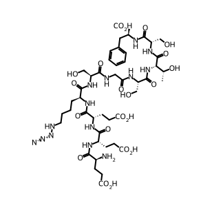 C[C@@H](O)[C@H](NC(=O)[C@H](CO)NC(=O)CNC(=O)[C@H](CO)NC(=O)[C@H](CCCCNN=[N+]=[N-])NC(=O)[C@H](CCC(=O)O)NC(=O)[C@H](CCC(=O)O)NC(=O)[C@@H](N)CCC(=O)O)C(=O)N[C@@H](CO)C(=O)N[C@@H](Cc1ccccc1)C(=O)O